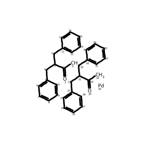 CC(=O)C(Cc1ccccc1)Cc1ccccc1.CC(=O)C(Cc1ccccc1)Cc1ccccc1.[Pd]